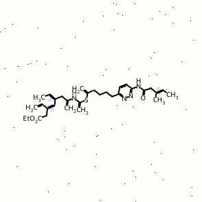 C=C/C(=C\C(=C/C)CC(=C)NC(=C)SC(=C)CCCCc1ccc(NC(=O)C/C(C)=C/C)nn1)CC(=O)OCC